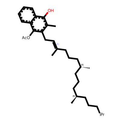 CC(=O)Oc1c(C/C=C(\C)CCC[C@H](C)CCC[C@H](C)CCCC(C)C)c(C)c(O)c2ccccc12